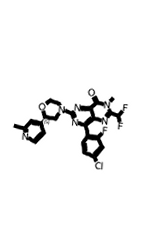 Cc1cc([C@H]2CN(c3nc(-c4ccc(Cl)cc4F)c4nc(C(F)F)n(C)c(=O)c4n3)CCO2)ccn1